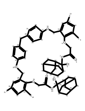 CCC1(OC(=O)COc2c(I)cc(I)cc2COc2ccc(Cc3ccc(OCc4cc(I)cc(I)c4OCC(=O)OC4(CC)C5CC6CC(C5)CC4C6)cc3)cc2)C2CC3CC(C2)CC1C3